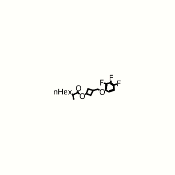 CCCCCCC(C)C(=O)OC1CC(COc2ccc(F)c(F)c2F)C1